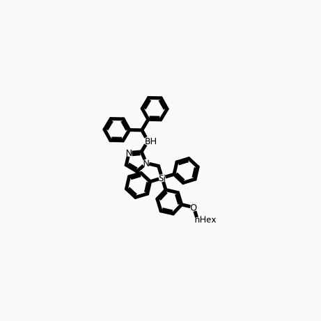 CCCCCCOc1cccc([Si](Cn2ccnc2BC(c2ccccc2)c2ccccc2)(c2ccccc2)c2ccccc2)c1